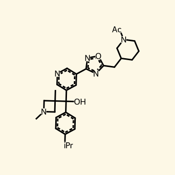 CC(=O)N1CCCC(Cc2nc(-c3cncc(C(O)(c4ccc(C(C)C)cc4)C4(C)CN(C)C4)c3)no2)C1